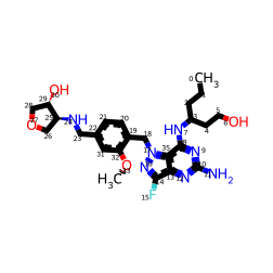 CCCC(CCO)Nc1nc(N)nc2c(F)nn(Cc3ccc(CN[C@H]4COC[C@@H]4O)cc3OC)c12